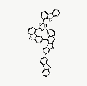 c1ccc(-c2nc(-c3cccc4c3oc3ccccc34)nc(-c3cccc4oc5ccc(-c6cccc7sc8cc(-c9ccc%10c(c9)sc9ccccc9%10)ccc8c67)cc5c34)n2)cc1